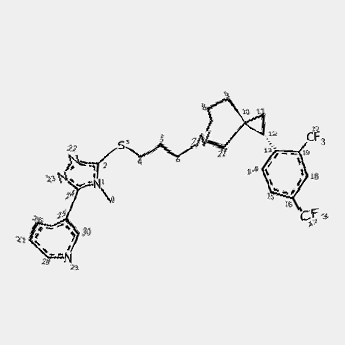 Cn1c(SCCCN2CC[C@]3(C[C@@H]3c3ccc(C(F)(F)F)cc3C(F)(F)F)C2)nnc1-c1cccnc1